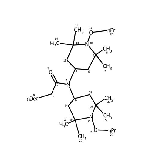 CCCCCCCCCCCC(=O)N(C1CC(C)(C)N(OCCC)C(C)(C)C1)C1CC(C)(C)N(OCCC)C(C)(C)C1